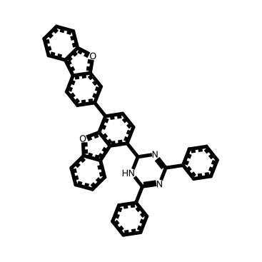 c1ccc(C2=NC(c3ccc(-c4ccc5c(c4)oc4ccccc45)c4oc5ccccc5c34)NC(c3ccccc3)=N2)cc1